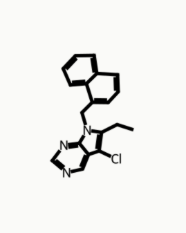 CCc1c(Cl)c2cncnc2n1Cc1cccc2ccccc12